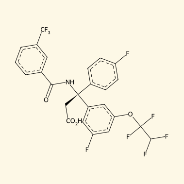 O=C(O)C[C@@](NC(=O)c1cccc(C(F)(F)F)c1)(c1ccc(F)cc1)c1cc(F)cc(OC(F)(F)C(F)F)c1